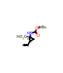 C=CC1C[C@]1(NC(=O)OC(C)(C)C)C(=O)O